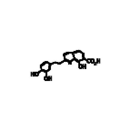 O=C(O)c1ccc2ccc(CCc3ccc(O)c(O)c3)nc2c1O